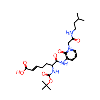 CC(C)CCNC(=O)Cn1cccc(NC(=O)C(CC/C=C/C(=O)O)NC(=O)OC(C)(C)C)c1=O